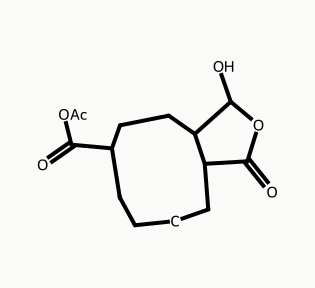 CC(=O)OC(=O)C1CCCCC2C(=O)OC(O)C2CC1